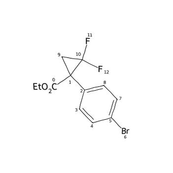 CCOC(=O)C1(c2ccc(Br)cc2)CC1(F)F